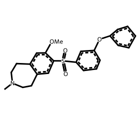 COc1cc2c(cc1S(=O)(=O)c1cccc(Oc3ccccc3)c1)CCN(C)CC2